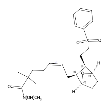 CN(O)C(=O)C(C)(C)CC/C=C\C[C@H]1[C@@H](CCS(=O)(=O)c2ccccc2)[C@H]2CC[C@@H]1O2